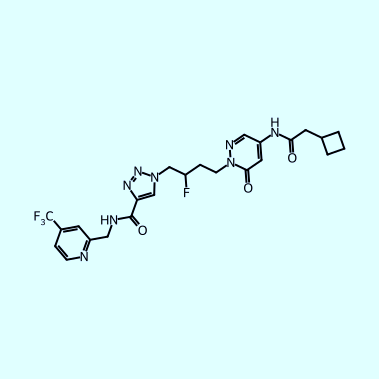 O=C(CC1CCC1)Nc1cnn(CCC(F)Cn2cc(C(=O)NCc3cc(C(F)(F)F)ccn3)nn2)c(=O)c1